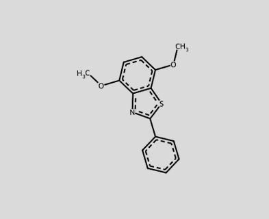 COc1ccc(OC)c2sc(-c3ccccc3)nc12